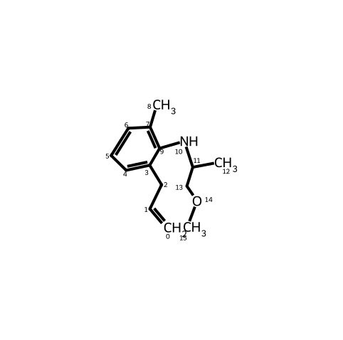 C=CCc1cccc(C)c1NC(C)COC